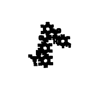 Cc1ccc(NC(=O)c2ccccc2NC(=O)c2ccc(-c3ccccc3C(=N)N(C)C)cc2)nc1